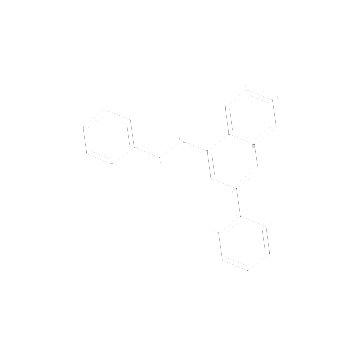 c1ccc(CNc2cc(-c3ccccc3)[o+]c3ccccc23)cc1